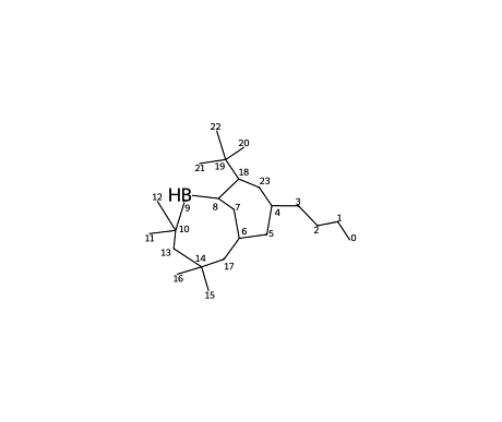 CCCCC1CC2CC(BC(C)(C)CC(C)(C)C2)C(C(C)(C)C)C1